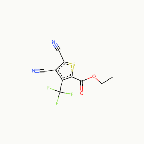 CCOC(=O)c1sc(C#N)c(C#N)c1C(F)(F)F